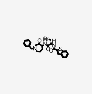 CC(C)C[C@H](NC(=O)c1cc2ccccc2s1)C(=O)NC1CCCN(Cc2ccccc2)CC1=O